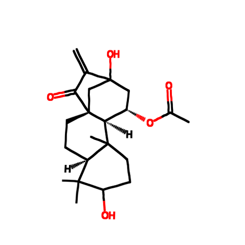 C=C1C(=O)[C@@]23CC[C@@H]4C(C)(C)C(O)CCC4(C)[C@@H]2[C@@H](OC(C)=O)CC1(O)C3